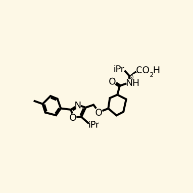 Cc1ccc(-c2nc(COC3CCCC(C(=O)N[C@H](C(=O)O)C(C)C)C3)c(C(C)C)o2)cc1